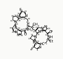 CCN1CCc2ncc(F)cc2[C@H]2CCCN2c2nc3c(cnn3cc2CC(C)N2CCc3ncc(F)cc3[C@H]3CCCN3c3ccn4ncc(c4n3)C(=O)N2)C(=O)N1